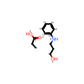 CCC(=O)O.OCCCNc1ccccc1